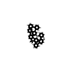 CC1(C)c2ccc(-c3ccccc3)cc2-c2c(N(c3ccc4c(c3)-c3ccccc3-c3ccccc3O4)c3cccc4sc5ccc(-c6ccccc6)cc5c34)cccc21